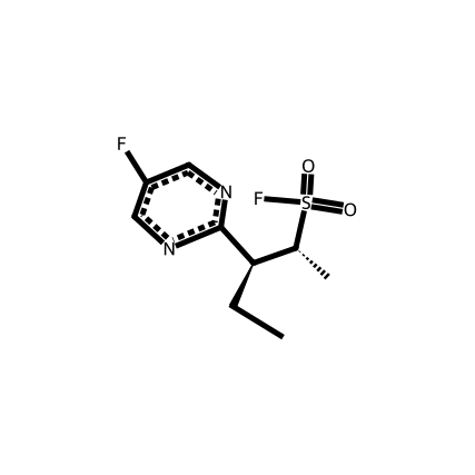 CC[C@@H](c1ncc(F)cn1)[C@@H](C)S(=O)(=O)F